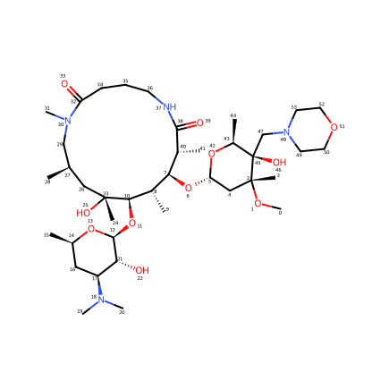 CO[C@]1(C)C[C@H](O[C@H]2[C@H](C)[C@@H](O[C@@H]3O[C@H](C)C[C@H](N(C)C)[C@H]3O)[C@](C)(O)C[C@@H](C)CN(C)C(=O)CCCNC(=O)[C@@H]2C)O[C@@H](C)[C@]1(O)CN1CCOCC1